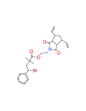 C=CC1CC(C=C)C2C(=O)N(CCOC(=O)C(C)(C)CC(Br)c3ccccc3)C(=O)C12